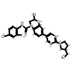 CCC1CN(C(=O)Nc2ccc(Cl)cc2F)c2ccc(-c3cnc(N4CCC(CC(C)=O)C4)nc3)cc2O1